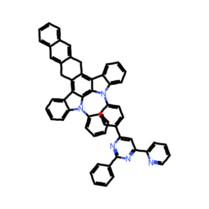 c1ccc(-c2nc(-c3ccc(-n4c5ccccc5c5c6c(c7c8ccccc8n(-c8ccccc8)c7c54)Cc4cc5ccccc5cc4C6)cc3)cc(-c3ccccn3)n2)cc1